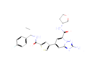 CC[C@H](NC(=O)c1cc(-c2cc(C(=O)N[C@H]3CCOC3)n3nc(N)nc3c2)cs1)c1ccc(F)cc1